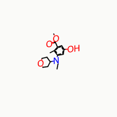 CCN(c1cc(O)cc(C(=O)OC)c1C)C1CCOCC1